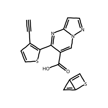 C#Cc1ccsc1-c1nc2ccnn2cc1C(=O)O.c1sc2cc1-2